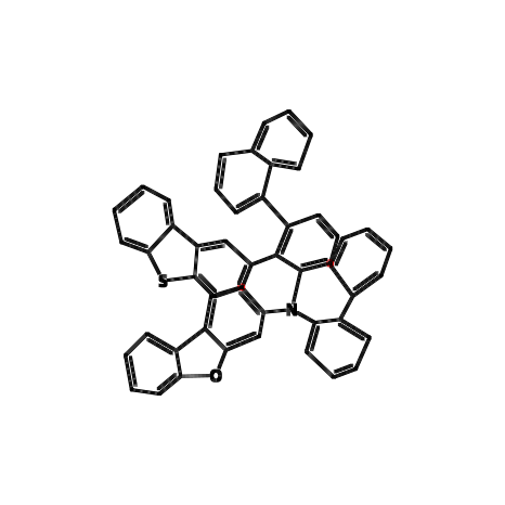 c1ccc(-c2ccccc2N(c2ccc3c(c2)oc2ccccc23)c2cccc(-c3cccc4ccccc34)c2-c2ccc3sc4ccccc4c3c2)cc1